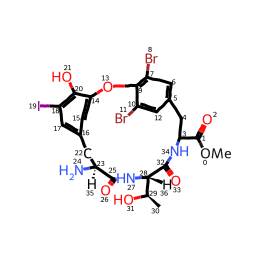 COC(=O)C1Cc2cc(Br)c(c(Br)c2)Oc2cc(cc(I)c2O)C[C@H](N)C(=O)N[C@@H]([C@@H](C)O)C(=O)N1